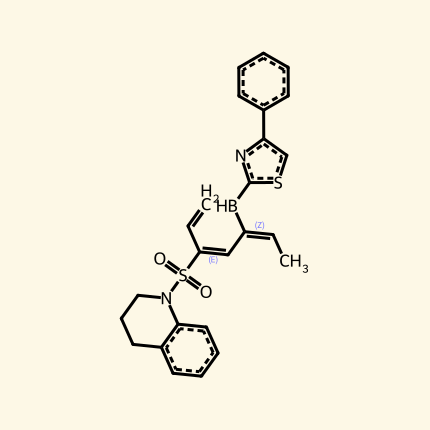 C=C/C(=C\C(Bc1nc(-c2ccccc2)cs1)=C/C)S(=O)(=O)N1CCCc2ccccc21